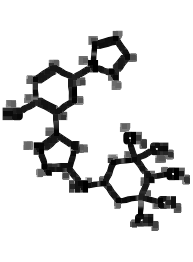 CN1C(C)(C)CC(Nc2nnc(-c3cc(-n4cccn4)ccc3O)s2)CC1(C)C